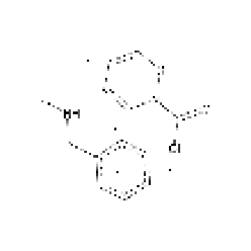 CNCc1ccccc1.O=C(O)N1C=CC=CO1